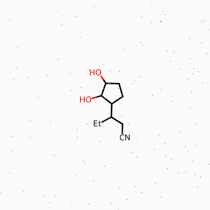 CCC(CC#N)C1CCC(O)C1O